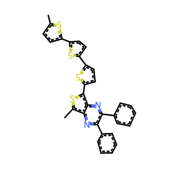 Cc1ccc(-c2ccc(-c3ccc(-c4sc(C)c5nc(-c6ccccc6)c(-c6ccccc6)nc45)s3)s2)s1